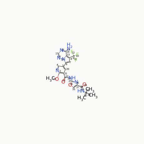 COc1ncc(-c2cc(C(F)(F)F)c3c(N)ncnn23)cc1C(=O)Nc1nc(C(=O)NC(C)(C)C)co1